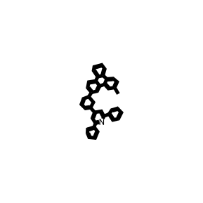 Cc1ccc2c3ccccc3c3ccc(C4C=CC=C(c5cc(-c6ccccc6)nc(-c6ccccc6)c5)C4)cc3c2c1